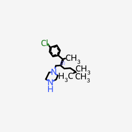 C/C(=C(\CCC(C)(C)C)CN1CCNCC1)c1ccc(Cl)cc1